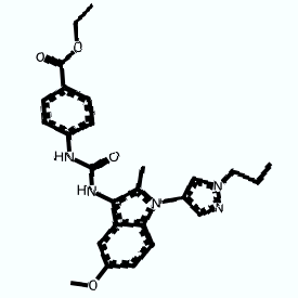 CCCn1cc(-n2c(C)c(NC(=O)Nc3ccc(C(=O)OCC)cc3)c3cc(OC)ccc32)cn1